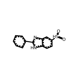 O=[SH](=O)c1ccc2[nH]c(-c3ccccc3)nc2c1